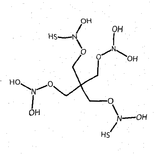 ON(O)OCC(CON(O)O)(CON(O)S)CON(O)S